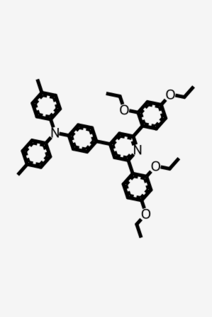 CCOc1ccc(-c2cc(-c3ccc(N(c4ccc(C)cc4)c4ccc(C)cc4)cc3)cc(-c3ccc(OCC)cc3OCC)n2)c(OCC)c1